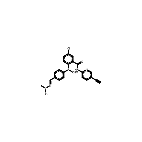 C#Cc1ccc(NC(=O)c2cc(Cl)ccc2N(C=O)c2ccc(C=NN(C)CC)cc2)nc1